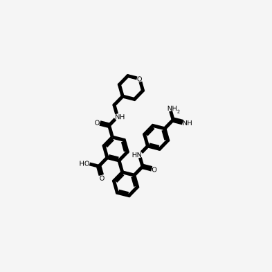 N=C(N)c1ccc(NC(=O)c2ccccc2-c2ccc(C(=O)NCC3CCOCC3)cc2C(=O)O)cc1